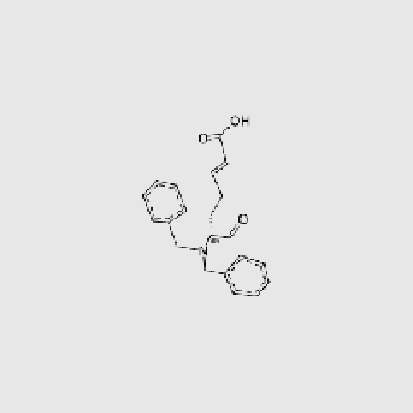 O=C[C@@H](CCC=CC(=O)O)N(Cc1ccccc1)Cc1ccccc1